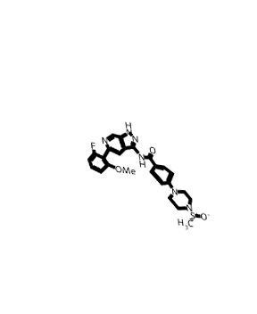 COc1cccc(F)c1-c1cc2c(NC(=O)c3ccc(N4CCN([S+](C)[O-])CC4)cc3)n[nH]c2cn1